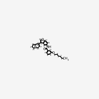 CCCCCCOc1cccc(C(=O)Nc2ccc3occ(C4=CCN5CCCC5C4)c3c2)c1